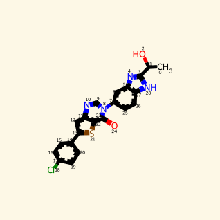 CC(O)c1nc2cc(-n3cnc4cc(-c5ccc(Cl)cc5)sc4c3=O)ccc2[nH]1